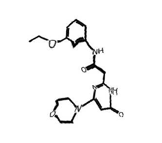 CCOc1cccc(NC(=O)Cc2nc(N3CCOCC3)cc(=O)[nH]2)c1